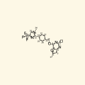 Cc1cc2nc(Cl)nc(OCc3ccc(-c4nc(C(F)(F)F)cn4C)cc3)c2o1